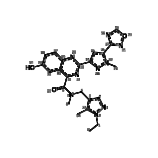 CCn1ncc(CN(C)C(=O)c2nc(-c3cc(-c4ncon4)n(C)n3)nc3ccc(O)cc23)c1C